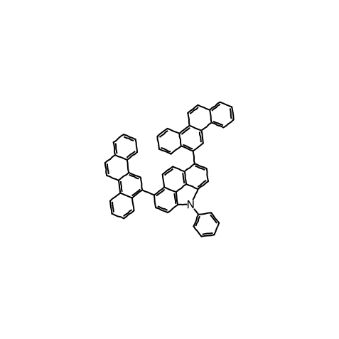 c1ccc(-n2c3ccc(-c4cc5c6ccccc6ccc5c5ccccc45)c4ccc5c(-c6cc7c8ccccc8ccc7c7ccccc67)ccc2c5c43)cc1